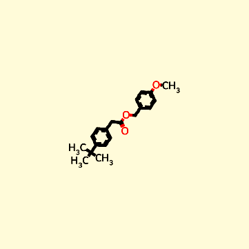 COc1ccc(COC(=O)Cc2ccc(C(C)(C)C)cc2)cc1